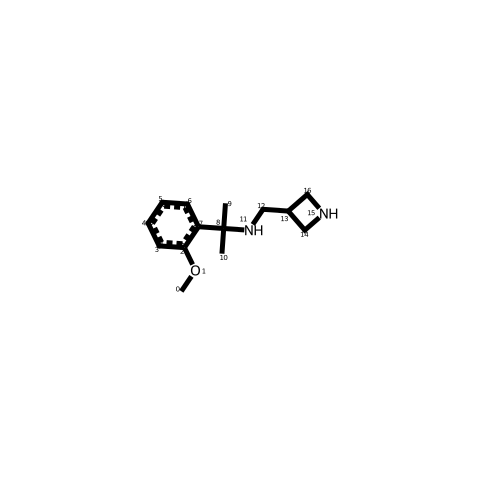 COc1ccccc1C(C)(C)NCC1CNC1